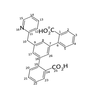 O=C(O)c1ccccc1-c1cc(Cc2ccccn2)cc(-c2ccccc2C(=O)O)c1